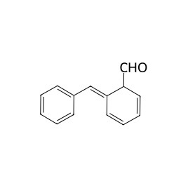 O=CC1C=CC=CC1=Cc1ccccc1